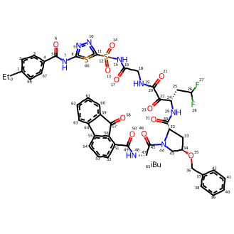 CCc1ccc(C(=O)Nc2nnc(S(=O)(=O)NC(=O)CNC(=O)C(=O)[C@H](CC(F)F)NC(=O)[C@@H]3C[C@@H](OCc4ccccc4)CN3C(=O)[C@@H](NC(=O)c3cccc4c3C(=O)c3ccccc3-4)[C@H](C)CC)s2)cc1